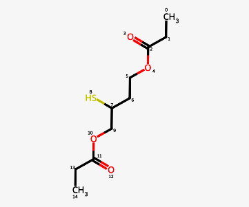 CCC(=O)OCCC(S)COC(=O)CC